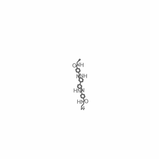 C#CCNC(=O)c1ccc(-c2nc3cc(-c4ccc5[nH]c(-c6ccc(C(=O)NCCN(C)C)cc6)nc5c4)ccc3[nH]2)cc1